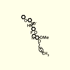 COc1cc2c(Oc3ccc(N[S+]([O-])c4cccc(Oc5ccccc5)c4)cc3F)ccnc2cc1OCCCN1CCN(C)CC1